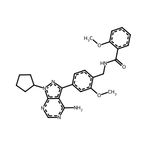 COc1cc(-c2nn(C3CCCC3)c3ncnc(N)c23)ccc1CNC(=O)c1ccccc1OC